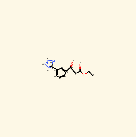 CCOC(=O)CC(=O)c1cccc(-c2nnn[nH]2)c1